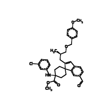 COC(=O)C1(Nc2cccc(Cl)c2)CCC2(CC1)C(C[C@@H](C)COCc1ccc(OC)cc1)=Cc1ccc(C=O)cc12